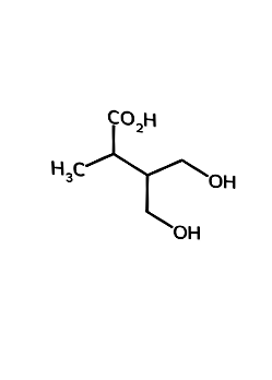 CC(C(=O)O)C(CO)CO